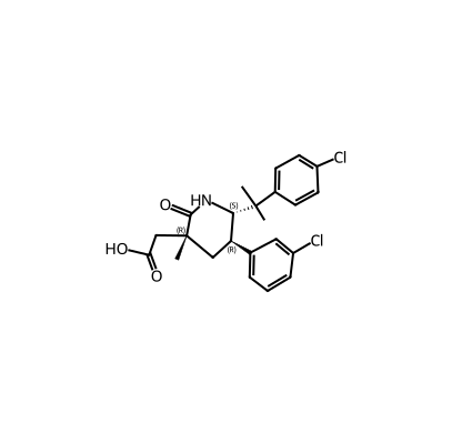 CC(C)(c1ccc(Cl)cc1)[C@H]1NC(=O)[C@@](C)(CC(=O)O)C[C@@H]1c1cccc(Cl)c1